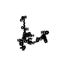 Cc1ncsc1-c1ccc([C@H](C)NC(=O)[C@@H]2C[C@@H](OP(=O)(OCCNC(=O)CCCCCN3C(=O)C=CC3=O)OP(=O)(O)O)CN2C(=O)C(c2cc(OCCN3CCN(CCOc4cc(N5C6CCC5CN(c5cc(-c7ccccc7O)nnc5N)C6)ccn4)[C@H](C)C3)no2)C(C)C)cc1